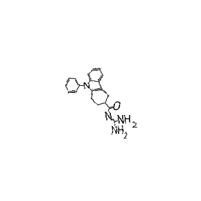 NC(N)=NC(=O)C1CCc2c(c3ccccc3n2-c2ccccc2)C1